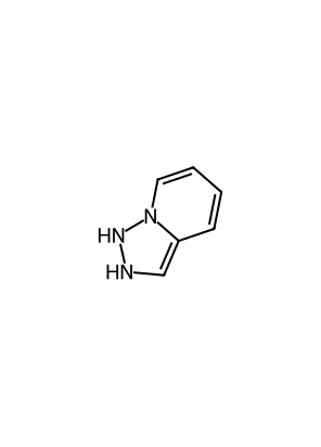 C1=CC2=CNNN2C=C1